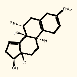 CC[C@@H]1CC2=C(CC=C(OC)C2)[C@H]2CCC3(CC)C(=CC[C@@H]3O)[C@H]12